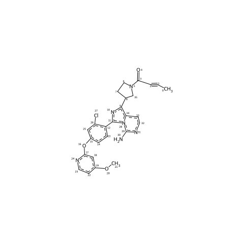 CC#CC(=O)N1CCC(c2nc(-c3ccc(Oc4cc(OC)ccn4)cc3Cl)n3c(N)nccc23)C1